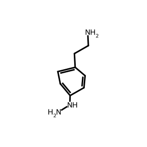 NCCc1ccc(NN)cc1